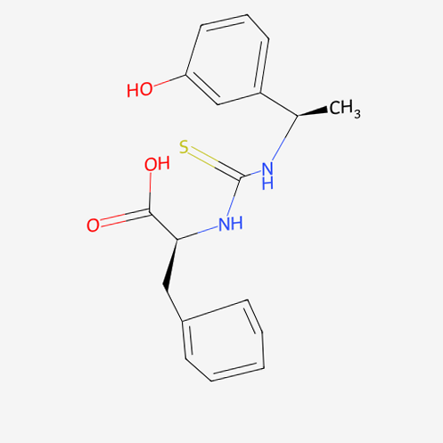 C[C@@H](NC(=S)N[C@@H](Cc1ccccc1)C(=O)O)c1cccc(O)c1